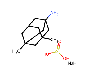 CC12CC3CC(C)(C1)CC(N)(C3)C2.O=S(O)O.[NaH]